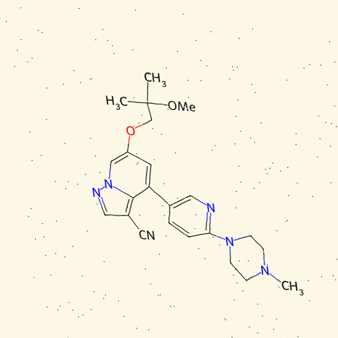 COC(C)(C)COc1cc(-c2ccc(N3CCN(C)CC3)nc2)c2c(C#N)cnn2c1